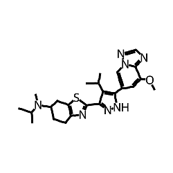 COc1cc(-c2[nH]nc(-c3nc4c(s3)CC(N(C)C(C)C)CC4)c2C(C)C)cn2ncnc12